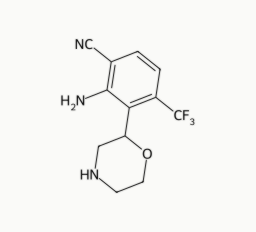 N#Cc1ccc(C(F)(F)F)c(C2CNCCO2)c1N